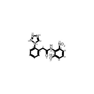 O=C(Cc1ccccc1-n1cnnn1)Nc1c(O)cccc1[N+](=O)[O-]